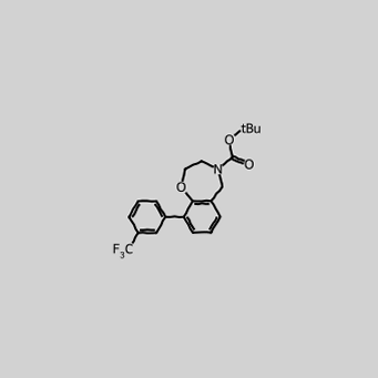 CC(C)(C)OC(=O)N1CCOc2c(cccc2-c2cccc(C(F)(F)F)c2)C1